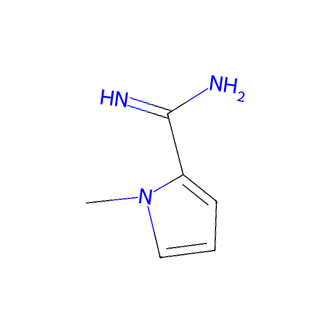 Cn1cccc1C(=N)N